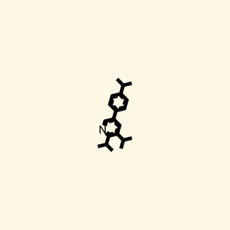 CC(C)c1ccc(-c2cnc(C(C)C)c(C(C)C)c2)cc1